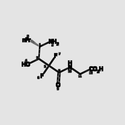 CCC[C@H](N)C(O)C(F)(F)C(=O)NCC(=O)O